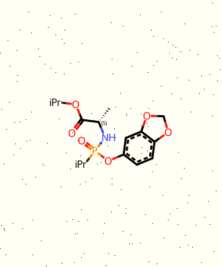 CC(C)OC(=O)[C@H](C)NP(=O)(Oc1ccc2c(c1)OCO2)C(C)C